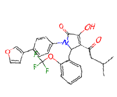 CC(C)CC(=O)C1=C(O)C(=O)N(c2ccc(-c3ccoc3)cc2)C1c1ccccc1OC(F)(F)F